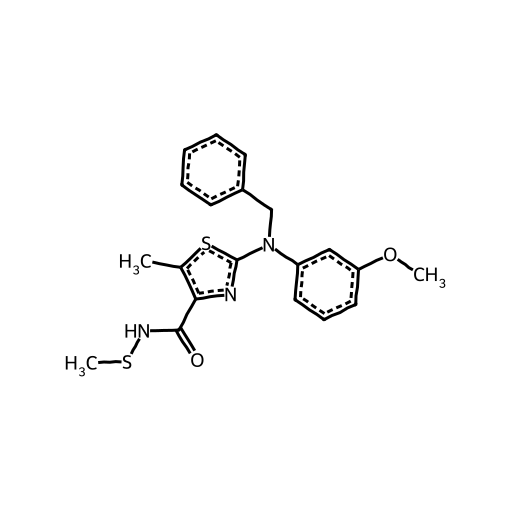 COc1cccc(N(Cc2ccccc2)c2nc(C(=O)NSC)c(C)s2)c1